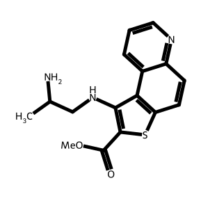 COC(=O)c1sc2ccc3ncccc3c2c1NCC(C)N